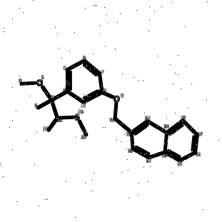 COC(C)(c1cccc(OCc2ccc3ccccc3c2)c1)C(C)SC